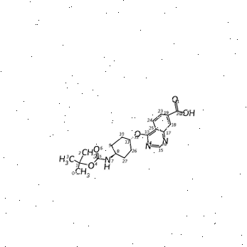 CC(C)(C)OC(=O)N[C@H]1CC[C@H](Oc2ncnc3cc(C(=O)O)ccc23)CC1